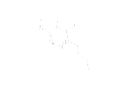 CCCCCc1nnc(N(C)C)n(C)c1=O